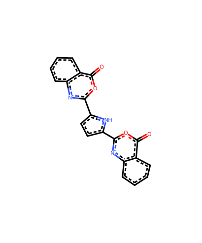 O=c1oc(-c2ccc(-c3nc4ccccc4c(=O)o3)[nH]2)nc2ccccc12